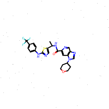 CC(NC(=O)c1cc2c(cn1)ncn2C1CCOCC1)c1cnc(Nc2ccc(C(F)(F)F)cc2)s1